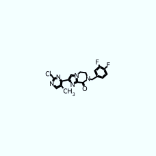 Cc1cnc(Cl)nc1-c1cn2c(n1)C(=O)N(Cc1ccc(F)c(F)c1)CC2